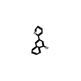 Brc1cc(-c2ccccn2)cc2ccccc12